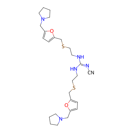 N#CN=C(NCCSCc1ccc(CN2CCCC2)o1)NCCSCc1ccc(CN2CCCC2)o1